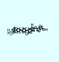 CN=S(C)(=O)c1ccc(-c2ccc(-c3nc4[nH]c(O[C@@H]5COC6C5OC[C@H]6O)nc4cc3Cl)cc2)cc1